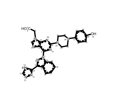 O=C(O)Cn1cnc2c(-n3nc(-c4nnc[nH]4)c4ccccc43)nc(N3CCN(c4ccc(O)cc4)CC3)nc21